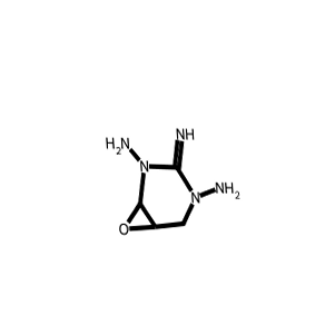 N=C1N(N)CC2OC2N1N